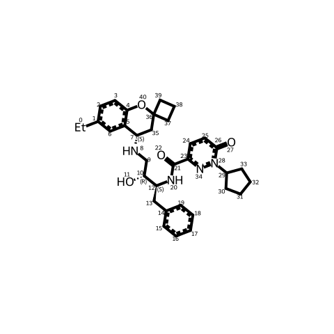 CCc1ccc2c(c1)[C@@H](NC[C@@H](O)[C@H](Cc1ccccc1)NC(=O)c1ccc(=O)n(C3CCCC3)n1)CC1(CCC1)O2